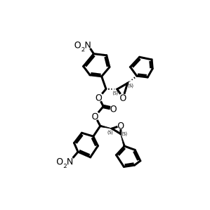 O=C(OC(c1ccc([N+](=O)[O-])cc1)[C@H]1O[C@H]1c1ccccc1)OC(c1ccc([N+](=O)[O-])cc1)[C@H]1O[C@H]1c1ccccc1